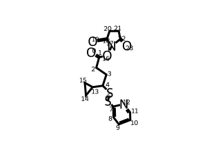 O=C(CCC(SSc1ccccn1)C1CC1)ON1C(=O)CCC1=O